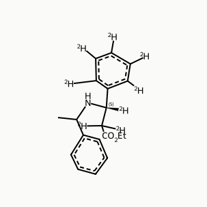 [2H]c1c([2H])c([2H])c([C@@]([2H])(NC(C)c2ccccc2)C([2H])([2H])C(=O)OCC)c([2H])c1[2H]